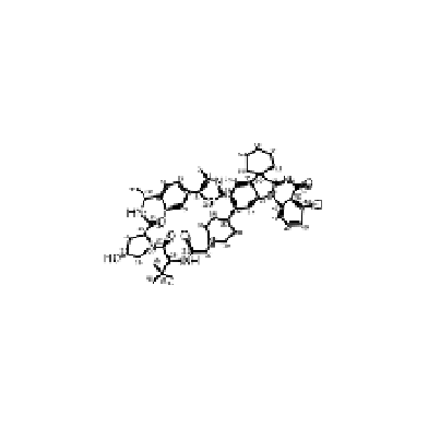 Cc1ncsc1-c1ccc([C@H](C)NC(=O)[C@@H]2C[C@@H](O)CN2C(=O)[C@@H](NC(=O)CN2CCC(c3ccc4c(c3)-n3c(nc(=O)c5c(Cl)cccc53)C43CCCCC3)CC2)C(C)(C)C)cc1